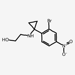 O=[N+]([O-])c1ccc(C2(NCCO)CC2)c(Br)c1